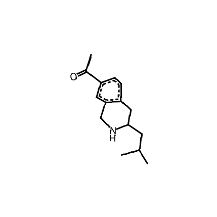 CC(=O)c1ccc2c(c1)CNC(CC(C)C)C2